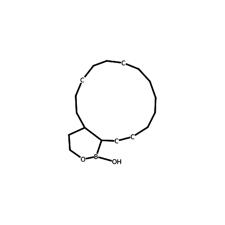 OB1OCCC2CCCCCCCCCCCCCC12